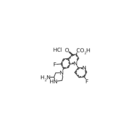 Cl.NC1CN(c2cc3c(cc2F)c(=O)c(C(=O)O)cn3-c2ccc(F)cn2)CCN1